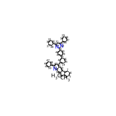 CC1(C)c2ccccc2-c2cc3c(-c4cccc(-c5ccc(-c6nc(-c7ccccc7)cc(-c7ccccc7)n6)cc5)c4)cc(-c4ccccc4)nc3cc21